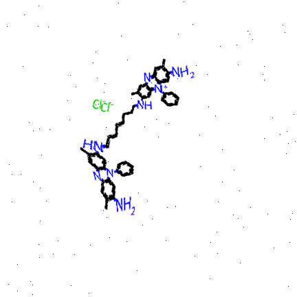 Cc1cc2nc3cc(C)c(NCCCCCCCCNc4cc5c(cc4C)nc4cc(C)c(N)cc4[n+]5-c4ccccc4)cc3[n+](-c3ccccc3)c2cc1N.[Cl-].[Cl-]